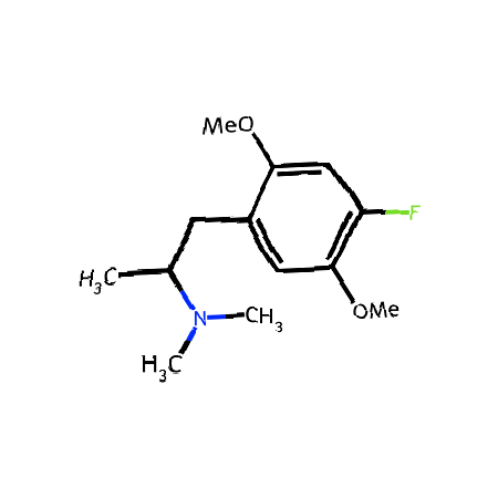 COc1cc(CC(C)N(C)C)c(OC)cc1F